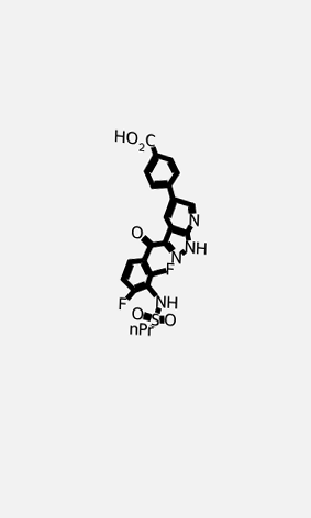 CCCS(=O)(=O)Nc1c(F)ccc(C(=O)c2n[nH]c3ncc(-c4ccc(C(=O)O)cc4)cc23)c1F